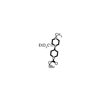 CCOC(=O)[C@@H]1CN(C)CCN1C1CCN(C(=O)OC(C)(C)C)CC1